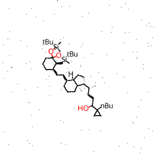 C=C1/C(=C\C=C2/CCC[C@]3(C)[C@@H]([C@H](C)/C=C/C(O)C4(CCCC)CC4)CC[C@@H]23)CCCC1(O[Si](C)(C)C(C)(C)C)O[Si](C)(C)C(C)(C)C